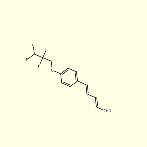 O=C/C=C/C=Cc1ccc(OCC(F)(F)C(F)F)cc1